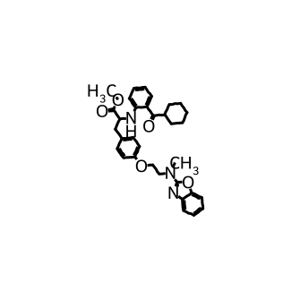 COC(=O)C(Cc1ccc(OCCN(C)c2nc3ccccc3o2)cc1)Nc1ccccc1C(=O)C1CCCCC1